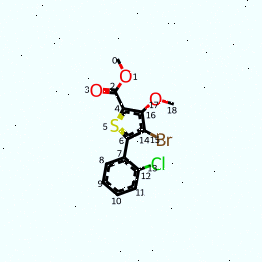 COC(=O)c1sc(-c2ccccc2Cl)c(Br)c1OC